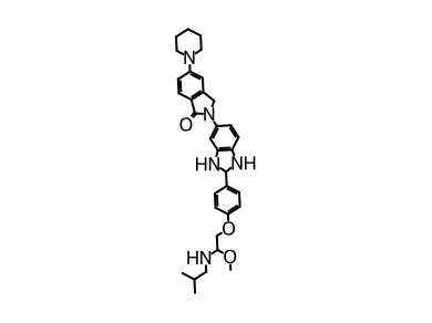 COC(COc1ccc(C2Nc3ccc(N4Cc5cc(N6CCCCC6)ccc5C4=O)cc3N2)cc1)NCC(C)C